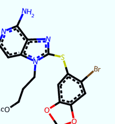 CC(=O)OCCCn1c(Sc2cc3c(cc2Br)OCO3)nc2c(N)nccc21